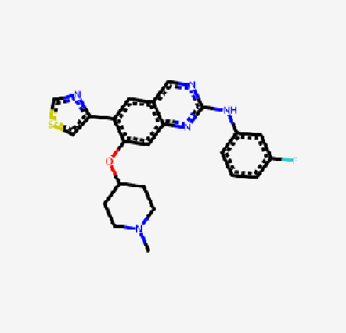 CN1CCC(Oc2cc3nc(Nc4cccc(F)c4)ncc3cc2-c2cscn2)CC1